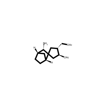 CC(=O)OC[C@H]1CC2(C[C@@H]1OC(C)=O)[C@@H]1CC[C@@H](C1)[C@@H]2N